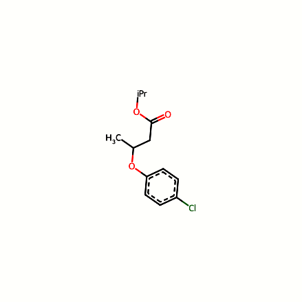 CC(C)OC(=O)CC(C)Oc1ccc(Cl)cc1